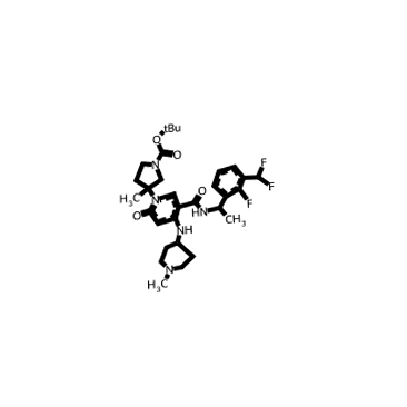 CC(NC(=O)c1cn(C2(C)CCN(C(=O)OC(C)(C)C)C2)c(=O)cc1NC1CCN(C)CC1)c1cccc(C(F)F)c1F